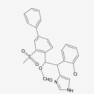 CS(=O)(=O)c1cc(-c2ccccc2)ccc1C(OC=O)C(c1c[nH]cn1)c1ccccc1Cl